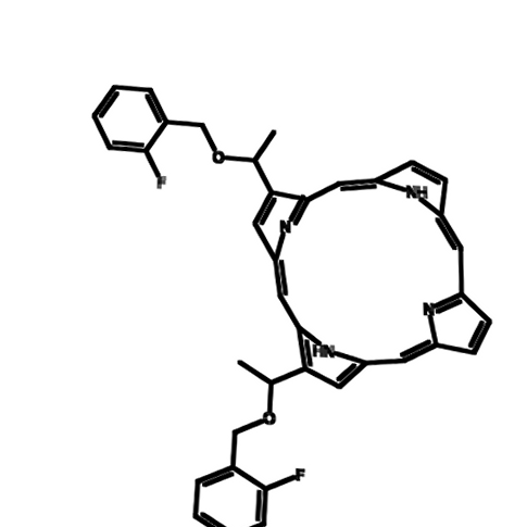 CC(OCc1ccccc1F)C1=Cc2cc3[nH]c(cc4nc(cc5ccc(cc1n2)[nH]5)C=C4)cc3C(C)OCc1ccccc1F